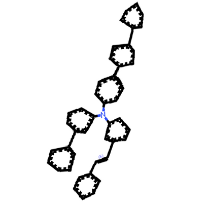 C(=C\c1cccc(N(c2ccc(-c3ccc(-c4ccccc4)cc3)cc2)c2cccc(-c3ccccc3)c2)c1)/c1ccccc1